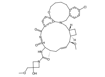 COCC1(O)CN(C(=O)NC2[C@@H](C)C/C=C/[C@H](OC)[C@@H]3CC[C@H]3CN3Cc4ccc(Cl)cc4CCCCOc4ccc(cc43)C(=O)/N=[SH]\2=O)C1